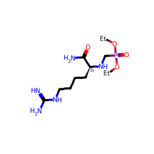 CCOP(=O)(CN[C@@H](CCCCNC(=N)N)C(N)=O)OCC